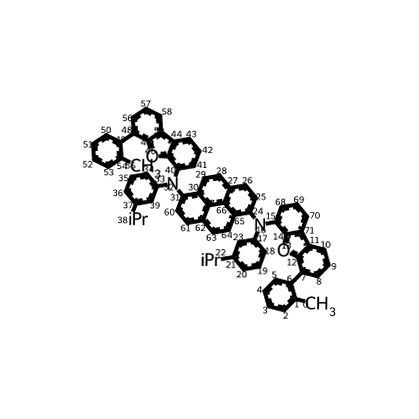 Cc1ccccc1-c1cccc2c1oc1c(N(c3cccc(C(C)C)c3)c3ccc4ccc5c(N(c6cccc(C(C)C)c6)c6cccc7c6oc6c(-c8ccccc8C)cccc67)ccc6ccc3c4c65)cccc12